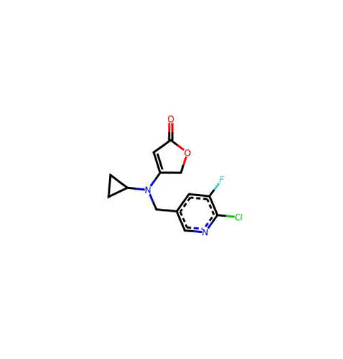 O=C1C=C(N(Cc2cnc(Cl)c(F)c2)C2CC2)CO1